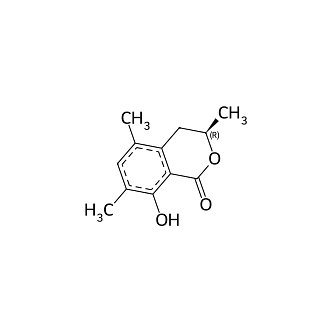 Cc1cc(C)c2c(c1O)C(=O)O[C@H](C)C2